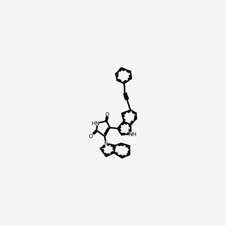 O=C1NC(=O)C(n2ccc3ccccc32)=C1c1c[nH]c2ccc(C#Cc3ccccc3)cc12